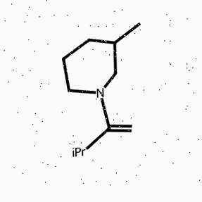 C=C(C(C)C)N1CCCC(C)C1